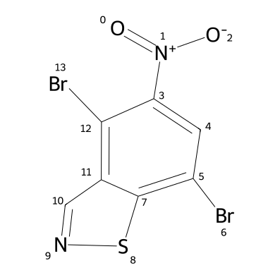 O=[N+]([O-])c1cc(Br)c2sncc2c1Br